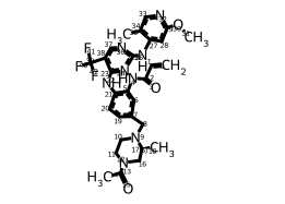 C=CC(=O)Nc1cc(CN2CCN(C(C)=O)C[C@@H]2C)ccc1Nc1nc(Nc2cc(OC)ncc2C)ncc1C(F)(F)F